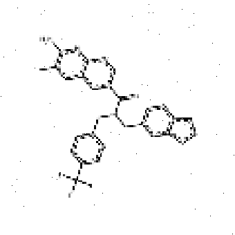 Cc1cc2cc(C(=O)N(Cc3ccn4ccnc4c3)Cc3ccc(C(F)(F)F)cn3)ccc2nc1N